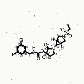 CCS(=O)(=O)N1C[C@@H]2[C@H](C1)[C@H]2N1CCC(O)(OC(=O)NCc2cc(F)cc(Cl)c2)C1=O